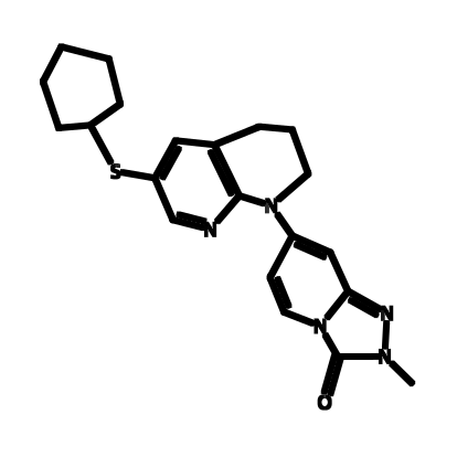 Cn1nc2cc(N3CCCc4cc(SC5CCCCC5)cnc43)ccn2c1=O